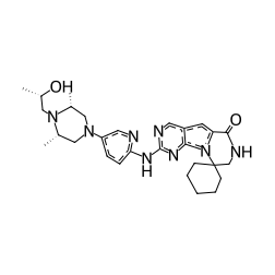 C[C@H](O)CN1[C@H](C)CN(c2ccc(Nc3ncc4cc5n(c4n3)C3(CCCCC3)CNC5=O)nc2)C[C@@H]1C